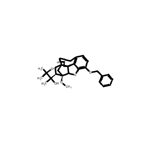 CO[C@]12CC3(C[C@@H]1C(C)(O)C(C)(C)C)C1Cc4ccc(OCc5ccccc5)c5c4C3(CCN1)C2O5